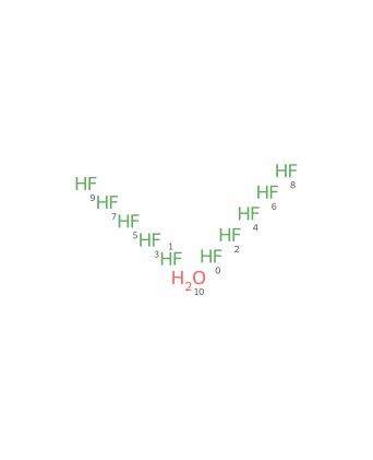 F.F.F.F.F.F.F.F.F.F.O